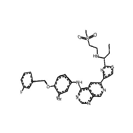 CCC(NCCS(C)(=O)=O)c1nc(-c2cc3c(Nc4ccc(OCc5cccc(F)c5)c(Br)c4)ncnc3cn2)cs1